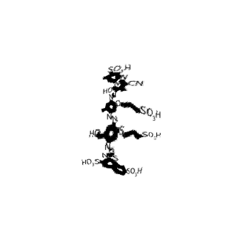 Cc1cc(N=Nc2c(C)c(C#N)c3nc4cc(S(=O)(=O)O)c(C)cc4n3c2O)c(OCCCS(=O)(=O)O)cc1N=Nc1cc(CO)c(N=Nc2nc3c(S(=O)(=O)O)cc4ccc(S(=O)(=O)O)cc4c3s2)cc1SCCCS(=O)(=O)O